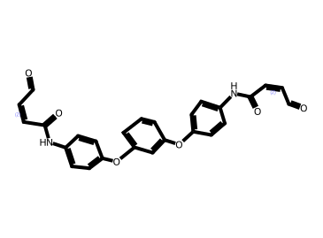 O=C/C=C\C(=O)Nc1ccc(Oc2cccc(Oc3ccc(NC(=O)/C=C\C=O)cc3)c2)cc1